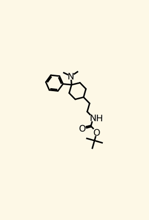 CN(C)C1(c2ccccc2)CCC(CCNC(=O)OC(C)(C)C)CC1